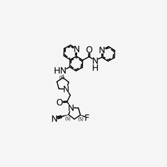 N#C[C@@H]1C[C@H](F)CN1C(=O)CN1CC[C@H](Nc2ccc(C(=O)Nc3ccccn3)c3ncccc23)C1